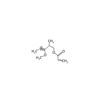 C=CC(=O)OCC(C)[SiH](OC)OC